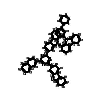 c1ccc(-c2cccc(-n3c4ccccc4c4cccc(-n5c6ccccc6c6ccc(-c7nc(-c8ccc9ccccc9c8)nc(-c8ccc9c(c8)oc8ccccc89)n7)cc65)c43)c2)cc1